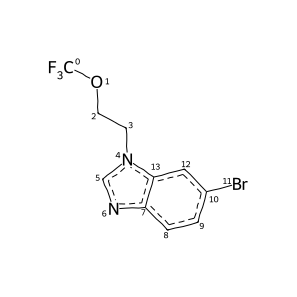 FC(F)(F)OCCn1cnc2ccc(Br)cc21